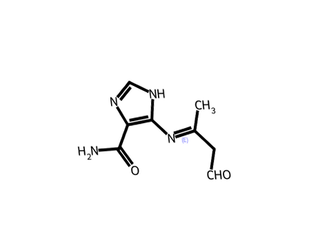 C/C(CC=O)=N\c1[nH]cnc1C(N)=O